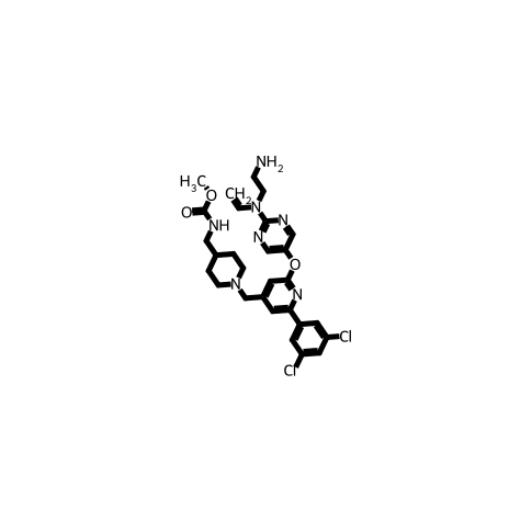 C=CN(CCN)c1ncc(Oc2cc(CN3CCC(CNC(=O)OC)CC3)cc(-c3cc(Cl)cc(Cl)c3)n2)cn1